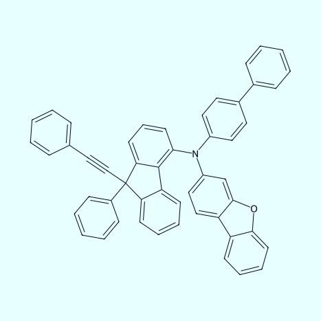 C(#CC1(c2ccccc2)c2ccccc2-c2c(N(c3ccc(-c4ccccc4)cc3)c3ccc4c(c3)oc3ccccc34)cccc21)c1ccccc1